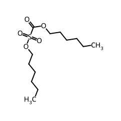 CCCCCCOC(=O)S(=O)(=O)OCCCCCC